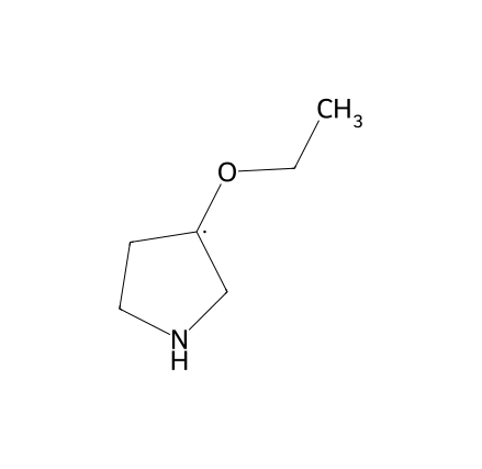 CCO[C]1CCNC1